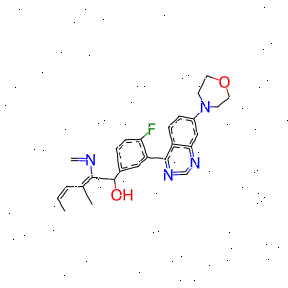 C=N/C(=C(C)\C=C/C)C(O)c1ccc(F)c(-c2ncnc3cc(N4CCOCC4)ccc23)c1